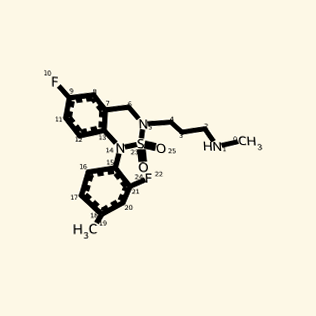 CNCCCN1Cc2cc(F)ccc2N(c2ccc(C)cc2F)S1(=O)=O